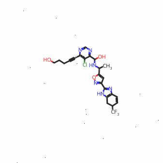 CC(NC(O)c1ncnc(C#CCCCO)c1Cl)c1cc(-c2nc3c([nH]2)CC(C(F)(F)F)C=C3)no1